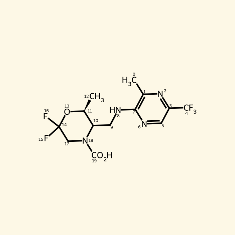 Cc1nc(C(F)(F)F)cnc1NCC1[C@H](C)OC(F)(F)CN1C(=O)O